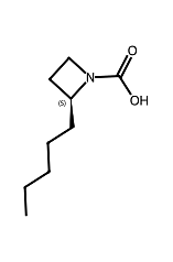 CCCCC[C@H]1CCN1C(=O)O